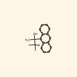 CC(O)(c1c2ccccc2cc2ccccc12)C(F)(F)F